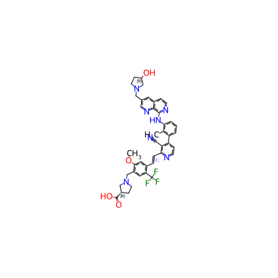 COc1cc(/C=C/c2nccc(-c3cccc(Nc4nccc5cc(CN6CC[C@@H](O)C6)cnc45)c3C)c2C#N)c(C(F)(F)F)cc1CN1CC[C@@H](C(=O)O)C1